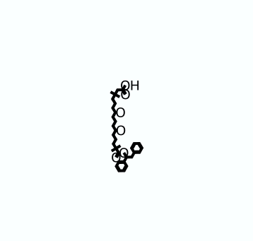 CC(C)(CCCC(=O)CCCC(=O)CCCC(C)(C)C(=O)OC(Cc1ccccc1)c1ccccc1)CC(=O)O